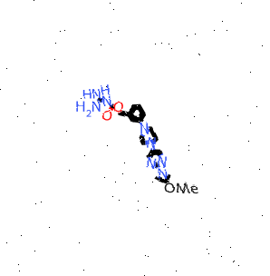 COC1CN(c2ncc(N3CCN(c4cccc(COC(=O)NC(=N)N)c4)CC3)cn2)C1